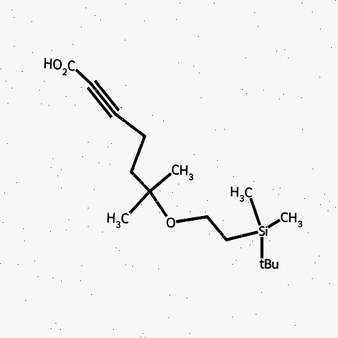 CC(C)(CCC#CC(=O)O)OCC[Si](C)(C)C(C)(C)C